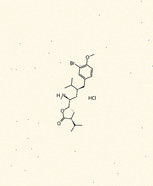 COc1ccc(C[C@@H](C[C@H](N)[C@@H]2C[C@@H](C(C)C)C(=O)O2)C(C)C)cc1Br.Cl